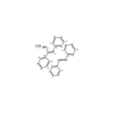 N.N.c1ccc(/N=N/c2ccccc2)cc1.c1ccc(/N=N/c2ccccc2)cc1